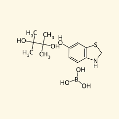 CC(C)(O)C(C)(C)O.OB(O)O.Oc1ccc2c(c1)SCN2